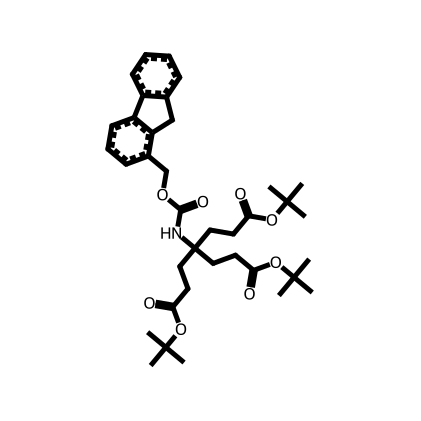 CC(C)(C)OC(=O)CCC(CCC(=O)OC(C)(C)C)(CCC(=O)OC(C)(C)C)NC(=O)OCc1cccc2c1Cc1ccccc1-2